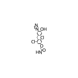 CNC(=O)COc1cc(Cl)c(Cc2ccc(O)c(-n3ccnc3)c2)c(Cl)c1